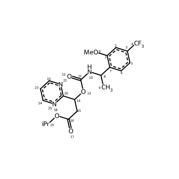 COc1cc(C(F)(F)F)ccc1C(C)NC(=O)OC(CC(=O)OC(C)C)c1ncccn1